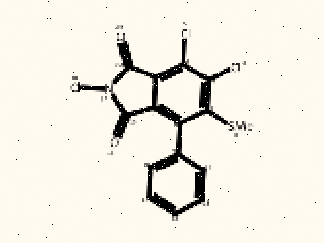 CSc1c(Cl)c(Cl)c2c(c1-c1ccccc1)C(=O)N(Cl)C2=O